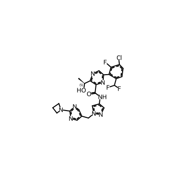 C[C@H](O)c1ncc(-c2c(C(F)F)ccc(Cl)c2F)nc1C(=O)Nc1cnn(Cc2cnc(N3CCC3)nc2)c1